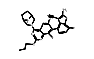 CCCOc1nc(N2CC3CCC(C2)N3)c2cc(Cl)c(-c3ccc(F)c4sc(N)c(C#N)c34)c(F)c2n1